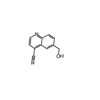 N#Cc1ccnc2ccc(CO)cc12